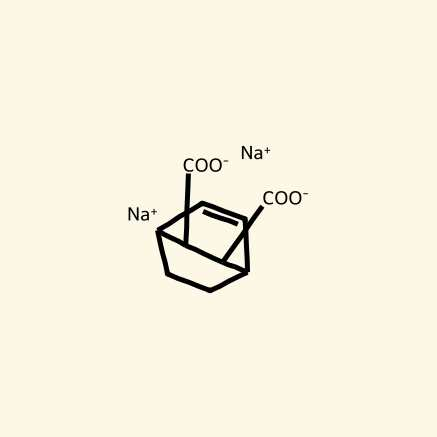 O=C([O-])C1C2C=CC(CC2)C1C(=O)[O-].[Na+].[Na+]